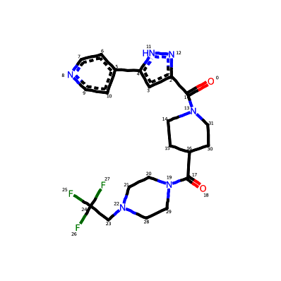 O=C(c1cc(-c2ccncc2)[nH]n1)N1CCC(C(=O)N2CCN(CC(F)(F)F)CC2)CC1